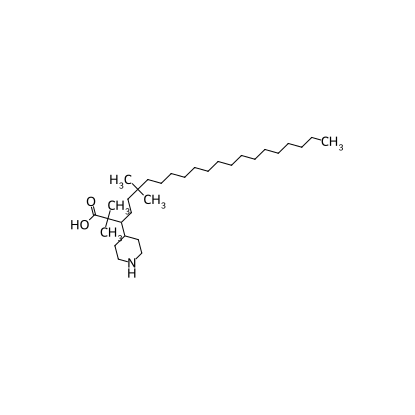 CCCCCCCCCCCCCCCCC(C)(C)CCC(C1CCNCC1)C(C)(C)C(=O)O